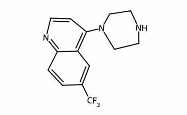 FC(F)(F)c1ccc2nccc(N3CCNCC3)c2c1